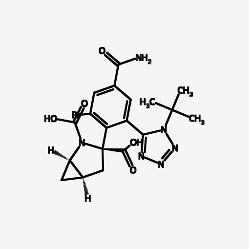 CC(C)(C)n1nnnc1-c1cc(C(N)=O)cc(Br)c1[C@]1(C(=O)O)C[C@H]2C[C@H]2N1C(=O)O